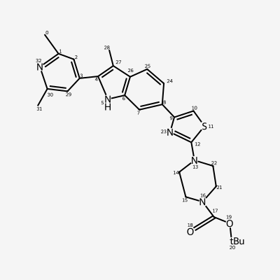 Cc1cc(-c2[nH]c3cc(-c4csc(N5CCN(C(=O)OC(C)(C)C)CC5)n4)ccc3c2C)cc(C)n1